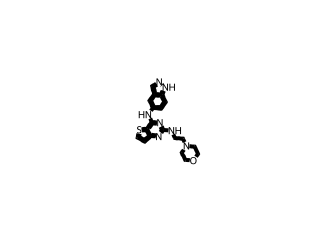 c1cc2nc(NCCN3CCOCC3)nc(Nc3ccc4[nH]ncc4c3)c2s1